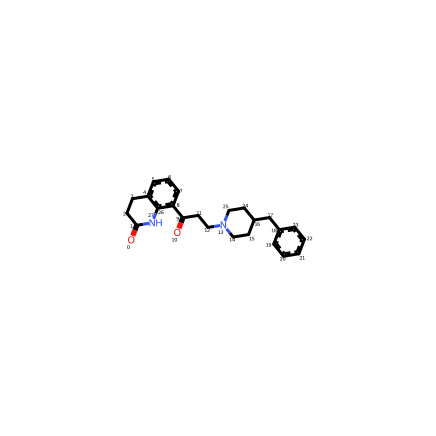 O=C1CCc2cccc(C(=O)CCN3CCC(Cc4ccccc4)CC3)c2N1